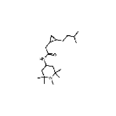 CC(C)CCC1CC1CC(=O)NC1CC(C)(C)N(C)C(C)(C)C1